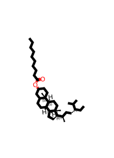 CCCCCCCCCC(=O)OC1CC[C@@]2(C)C(CC[C@H]3[C@@H]4CC[C@H]([C@H](C)CC[C@@H](CC)C(C)C)[C@@]4(C)CC[C@@H]32)C1